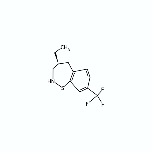 CC[C@@H]1CNSc2cc(C(F)(F)F)ccc2C1